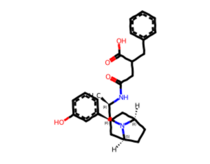 C[C@H](CN1[C@@H]2CC[C@H]1C[C@@H](c1cccc(O)c1)C2)NC(=O)CC(Cc1ccccc1)C(=O)O